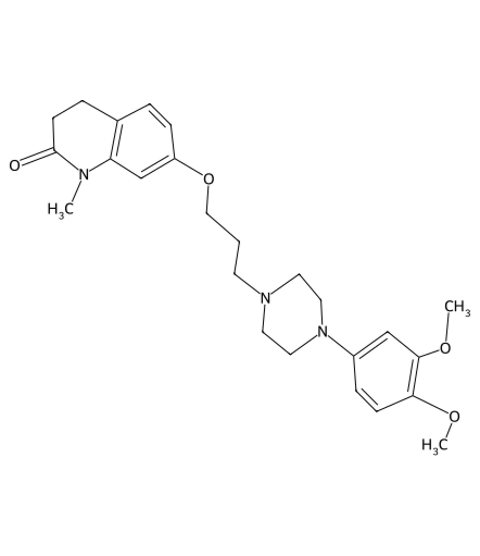 COc1ccc(N2CCN(CCCOc3ccc4c(c3)N(C)C(=O)CC4)CC2)cc1OC